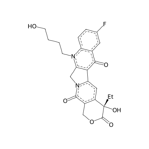 CC[C@@]1(O)C(=O)OCc2c1cc1n(c2=O)Cc2c-1c(=O)c1cc(F)ccc1n2CCCCO